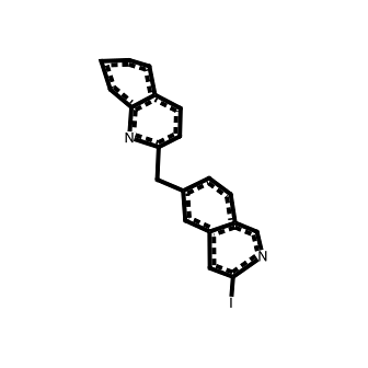 Ic1cc2cc(Cc3ccc4ccccc4n3)ccc2cn1